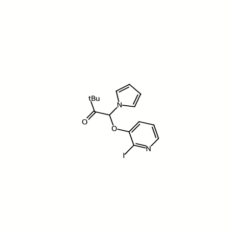 CC(C)(C)C(=O)C(Oc1cccnc1I)n1cccc1